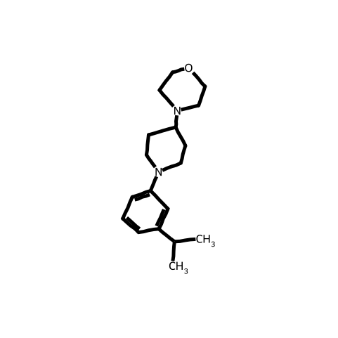 CC(C)c1cccc(N2CCC(N3CCOCC3)CC2)c1